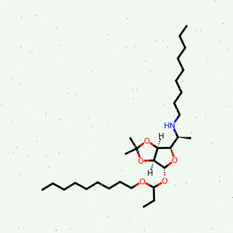 CCCCCCCCCN[C@@H](C)[C@H]1O[C@H](OC(CC)OCCCCCCCCC)[C@H]2OC(C)(C)O[C@H]21